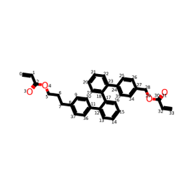 C=CC(=O)OCCCc1ccc(-c2ccccc2-c2ccccc2-c2ccc(COC(=O)C=C)cc2)cc1